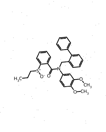 CCC[S+]([O-])c1ccccc1C(=O)N(Cc1ccccc1-c1ccccc1)c1ccc(OC)c(OC)c1